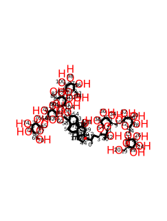 C[C@H](CC[C@@H](O[C@@H]1O[C@H](CO[C@@H]2O[C@H](CO[C@@H]3O[C@H](CO)[C@@H](O)[C@H](O)[C@H]3O)[C@@H](O)[C@H](O)[C@H]2O)[C@@H](O)[C@H](O)[C@H]1O)C(C)(C)O)[C@H]1CC[C@@]2(C)[C@@H]3CC=C4[C@@H](CC[C@H](O)[C@]4(C)CO[C@@H]4O[C@H](CO[C@@H]5O[C@H](CO)[C@@H](O)[C@H](O)[C@H]5O)[C@@H](O)[C@H](O)[C@H]4O[C@@H]4O[C@H](CO)[C@@H](O[C@@H]5O[C@H](CO)[C@@H](O)[C@H](O)[C@H]5O)[C@H](O)[C@H]4O)[C@]3(C)C(=O)C[C@]12C